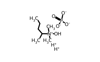 CCCC(C)[N+](C)(C)O.O=P([O-])([O-])[O-].[H+].[H+]